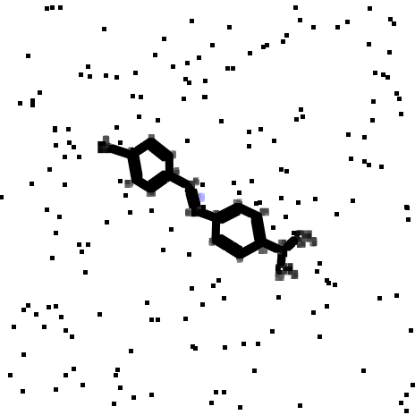 CCc1ccc(/N=N/c2ccc(N(C)C)cc2)cc1